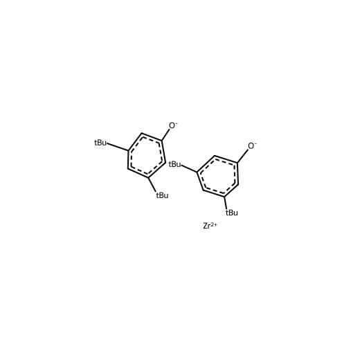 CC(C)(C)c1cc([O-])cc(C(C)(C)C)c1.CC(C)(C)c1cc([O-])cc(C(C)(C)C)c1.[Zr+2]